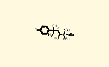 CCC[CH2][Sn]([CH2]CCC)([CH2]CCC)[CH](O)CC(C)(C)c1ccc(F)cc1